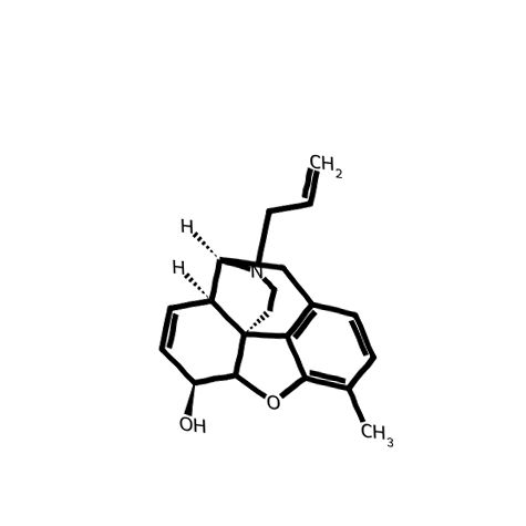 C=CCN1CC[C@]23c4c5ccc(C)c4OC2[C@@H](O)C=C[C@H]3[C@H]1C5